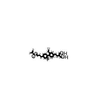 C=C(C)C(=O)OCCCc1ccc(-c2ccc(CCC(CO)CO)cc2CC)c(F)c1